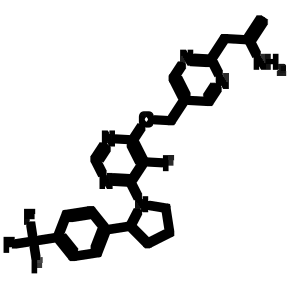 C=C(N)Cc1ncc(COc2ncnc(N3CCCC3c3ccc(C(F)(F)F)cc3)c2F)cn1